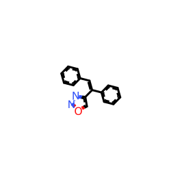 C(=C(c1ccccc1)c1conn1)c1ccccc1